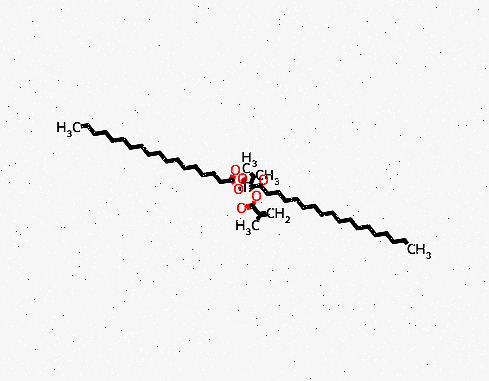 C=C(C)C(=O)[O][Ti](=[O])([O]C(=O)CCCCCCCCCCCCCCCCC)([C](=O)CCCCCCCCCCCCCCCCC)[CH](C)C